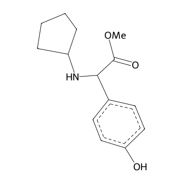 COC(=O)C(NC1CCCC1)c1ccc(O)cc1